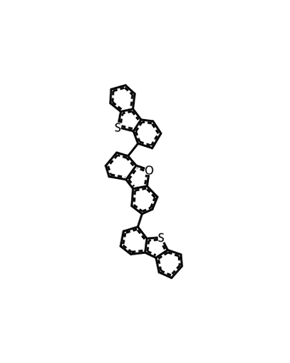 c1ccc2c(c1)sc1c(-c3ccc4oc5c(-c6cccc7c6sc6ccccc67)cccc5c4c3)cccc12